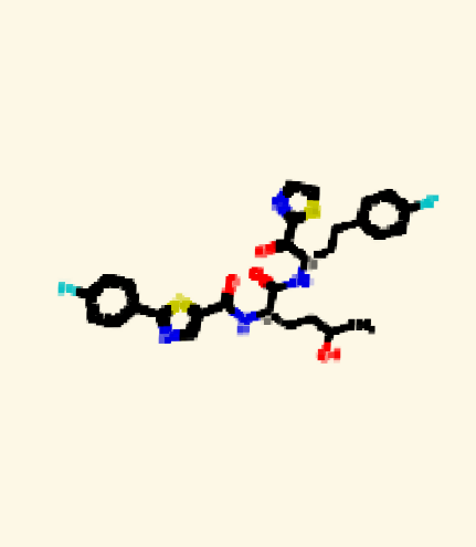 CC(O)CC[C@H](NC(=O)c1cnc(-c2ccc(F)cc2)s1)C(=O)N[C@@H](CCc1ccc(F)cc1)C(=O)c1nccs1